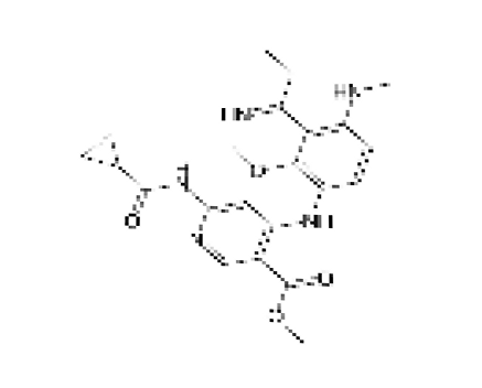 CCC(=N)c1c(NC)ccc(Nc2cc(NC(=O)C3CC3)ncc2C(=O)OC)c1OC